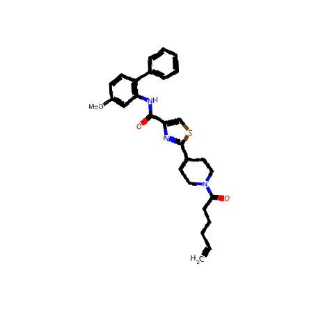 C=CCCCC(=O)N1CCC(c2nc(C(=O)Nc3cc(OC)ccc3-c3ccccc3)cs2)CC1